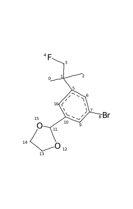 CC(C)(CF)c1cc(Br)cc(C2OCCO2)c1